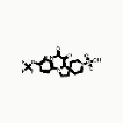 NC(=O)C(=O)C1N(c2ccc(OC(F)(F)F)cc2)CCC12CCN(S(=O)(=O)O)CC2